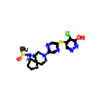 CC(C)(C)[S+]([O-])N[C@@H]1CCCC12CCN(c1cnc(Sc3cnnc(O)c3Cl)cn1)CC2